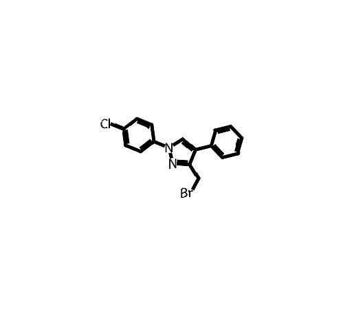 Clc1ccc(-n2cc(-c3ccccc3)c(CBr)n2)cc1